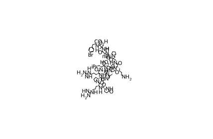 CCCC[C@H](NC(=O)[C@@H]1CCCN1C(=O)CNC(=O)[C@H](CCCCN)NC(=O)[C@H](Cc1c[nH]cn1)NC(=O)[C@H](CO)NC(=O)[C@H](CC(C)C)N(C)C(=O)[C@H](CCCNC(=N)N)NC(=O)[C@@H]1CCCN1C(=O)[C@H](CCCNC(=N)N)NC(=O)[C@@H]1CCC(=O)N1)C(=O)NC(C)(C)C(=O)N[C@@H](Cc1ccc(Br)cc1)C(=O)O